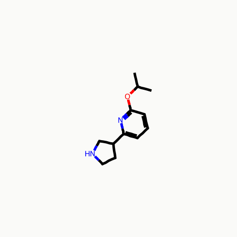 CC(C)Oc1cccc(C2CCNC2)n1